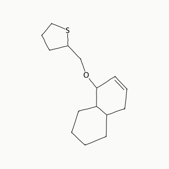 C1=CC(OCC2CCCS2)C2CCCCC2C1